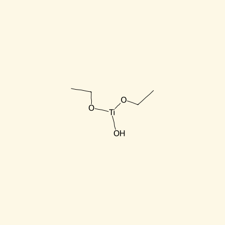 CC[O][Ti]([OH])[O]CC